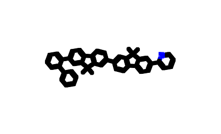 CC1(C)c2cc(-c3ccc4c(c3)C(C)(C)c3cc(-c5ccccc5-c5ccccc5)ccc3-4)ccc2-c2ccc(-c3ccccn3)cc21